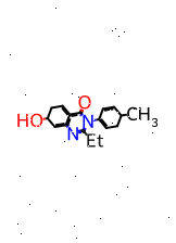 CCc1nc2c(c(=O)n1C1=CCC(C)C=C1)=CCC(O)C=2